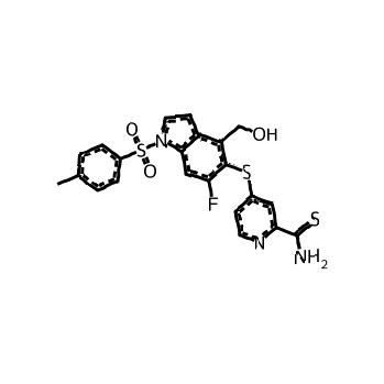 Cc1ccc(S(=O)(=O)n2ccc3c(CO)c(Sc4ccnc(C(N)=S)c4)c(F)cc32)cc1